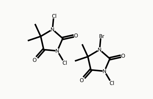 CC1(C)C(=O)N(Cl)C(=O)N1Br.CC1(C)C(=O)N(Cl)C(=O)N1Cl